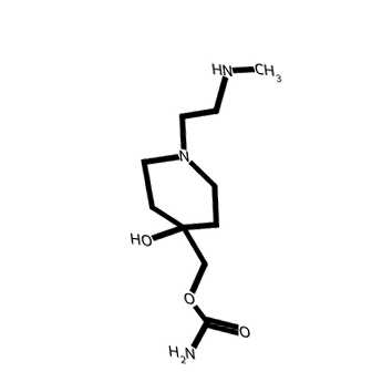 CNCCN1CCC(O)(COC(N)=O)CC1